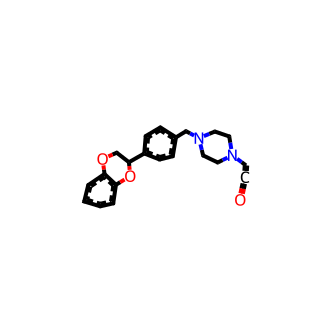 O=C=CN1CCN(Cc2ccc(C3COc4ccccc4O3)cc2)CC1